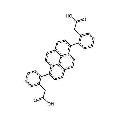 O=C(O)Cc1ccccc1-c1ccc2ccc3c(-c4ccccc4CC(=O)O)ccc4ccc1c2c43